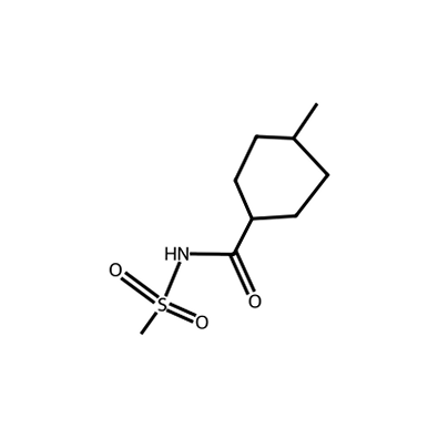 CC1CCC(C(=O)NS(C)(=O)=O)CC1